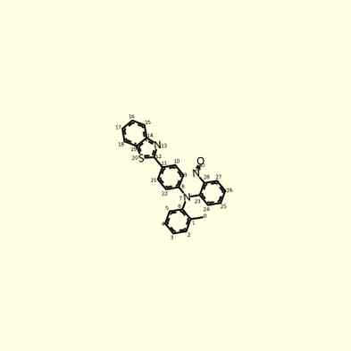 Cc1ccccc1N(c1ccc(-c2nc3ccccc3s2)cc1)c1ccccc1N=O